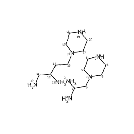 NC(N)CN1CCNCC1.NCC(N)CCN1CCNCC1